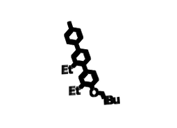 CCc1cc(-c2ccc(-c3ccc(C)cc3)cc2CC)ccc1OCC(C)CC